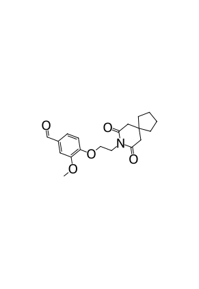 COc1cc(C=O)ccc1OCCN1C(=O)CC2(CCCC2)CC1=O